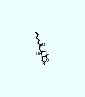 CCCCCC(=O)CC(=O)N[C@@H]1C[C@H](C)OC1=O